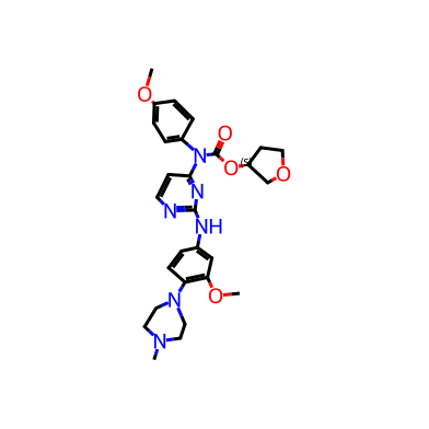 COc1ccc(N(C(=O)O[C@H]2CCOC2)c2ccnc(Nc3ccc(N4CCN(C)CC4)c(OC)c3)n2)cc1